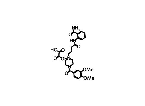 COc1ccc(C(=O)N2CCN(CCCC(=O)Nc3ccccc3C(N)=O)CC2)cc1OC.O=C(O)C(=O)O